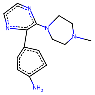 CN1CCN(c2nccnc2-c2ccc(N)cc2)CC1